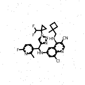 Cc1nc(F)ccc1C(Nc1cc(Cl)c2ncc(C#N)c(NCC3(C)CCC3)c2c1)c1cn(C2(C(F)F)CC2)nn1